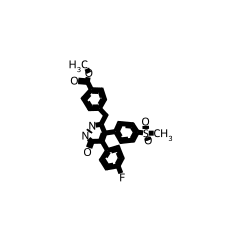 COC(=O)c1ccc(CC2N=NC(=O)C(c3ccc(F)cc3)=C2c2ccc(S(C)(=O)=O)cc2)cc1